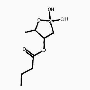 CCCC(=O)OC1CS(O)(O)OC1C